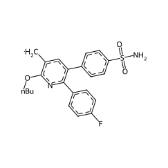 [CH2]c1cc(-c2ccc(S(N)(=O)=O)cc2)c(-c2ccc(F)cc2)nc1OCCCC